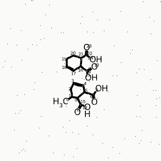 CC1CC=CC(C(=O)O)C1C(=O)O.O=C(O)C1C=CCCC1C(=O)O